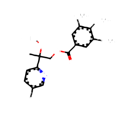 CCCCc1ccc(C(C)(COC(=O)c2cc(OC)c(OC)c(OC)c2)OC=O)nc1